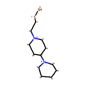 SSCCN1CCC(N2CCCCC2)CC1